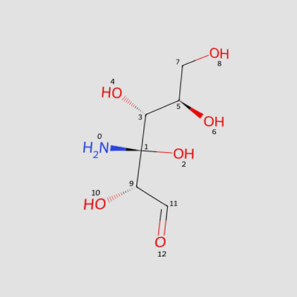 N[C@](O)([C@H](O)[C@H](O)CO)[C@@H](O)C=O